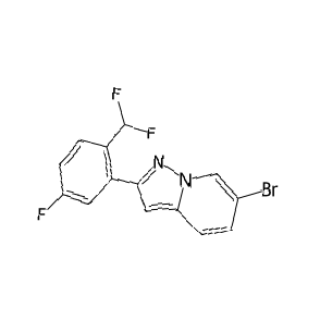 Fc1ccc(C(F)F)c(-c2cc3ccc(Br)cn3n2)c1